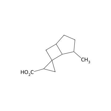 CC1CCC2CC3(CC3C(=O)O)C12